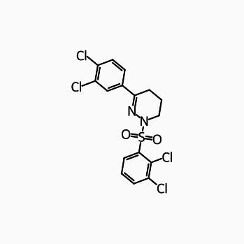 O=S(=O)(c1cccc(Cl)c1Cl)N1CCCC(c2ccc(Cl)c(Cl)c2)=N1